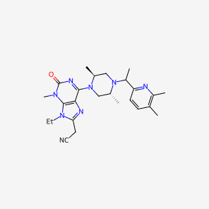 CCn1c(CC#N)nc2c(N3C[C@@H](C)N(C(C)c4ccc(C)c(C)n4)C[C@@H]3C)nc(=O)n(C)c21